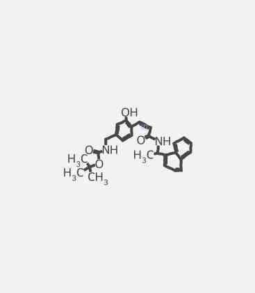 CC(NC(=O)/C=C\c1ccc(CNC(=O)OC(C)(C)C)cc1O)c1cccc2ccccc12